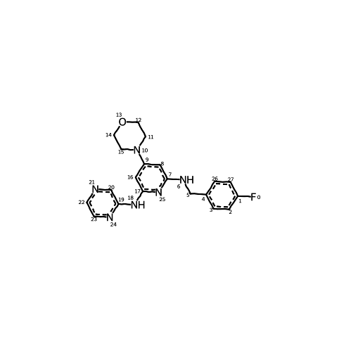 Fc1ccc(CNc2cc(N3CCOCC3)cc(Nc3cnccn3)n2)cc1